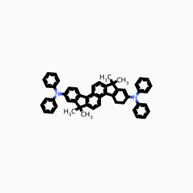 CC1(C)C2=C(CCC(N(c3ccccc3)c3ccccc3)=C2)c2c1ccc1c3c(ccc21)C(C)(C)c1cc(N(c2ccccc2)c2ccccc2)ccc1-3